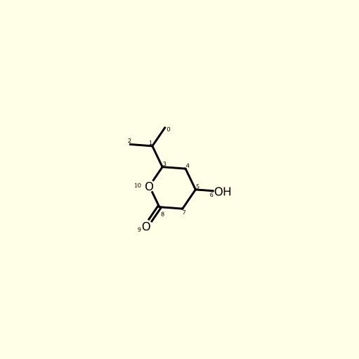 CC(C)C1CC(O)CC(=O)O1